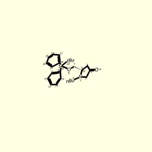 CCCCN1CC(=O)C[C@H]1CO[Si](c1ccccc1)(c1ccccc1)C(C)(C)C